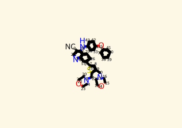 N#Cc1cnc2cc(-c3cc(CN4CCOCC4)c(CN4CCOCC4)s3)ccc2c1Nc1ccc(Oc2ccccc2)cc1